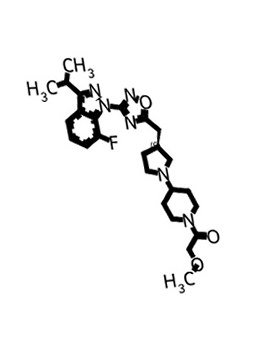 COCC(=O)N1CCC(N2CC[C@@H](Cc3nc(-n4nc(C(C)C)c5cccc(F)c54)no3)C2)CC1